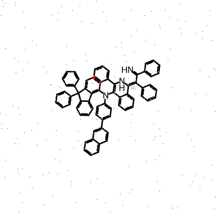 N=C(/C(=C1\NC(c2ccccc2)=C(N(c2ccc(-c3ccc4ccccc4c3)cc2)c2cccc3c2-c2ccccc2C3(c2ccccc2)c2ccccc2)c2ccccc21)c1ccccc1)c1ccccc1